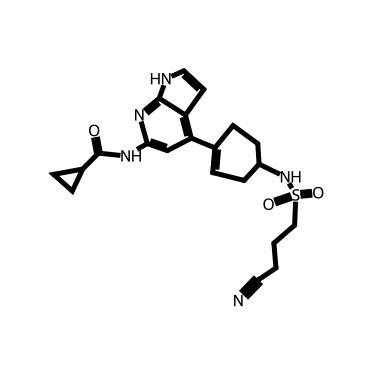 N#CCCCS(=O)(=O)NC1CC=C(c2cc(NC(=O)C3CC3)nc3[nH]ccc23)CC1